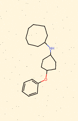 c1ccc(OC2CCC(NC3CCCCCCC3)CC2)cc1